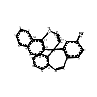 Brc1ccc2c(c1)C1(c3ccccc3C=C2)c2ccccc2Oc2c1ccc1ccccc21